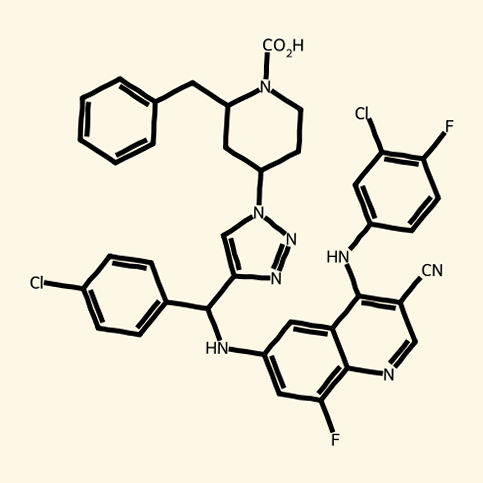 N#Cc1cnc2c(F)cc(NC(c3ccc(Cl)cc3)c3cn(C4CCN(C(=O)O)C(Cc5ccccc5)C4)nn3)cc2c1Nc1ccc(F)c(Cl)c1